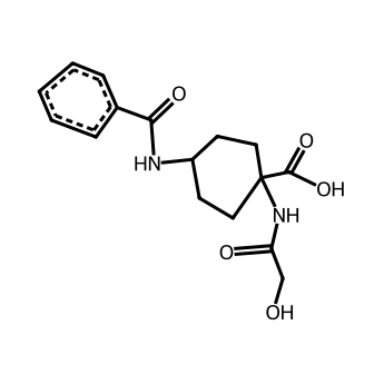 O=C(CO)NC1(C(=O)O)CCC(NC(=O)c2ccccc2)CC1